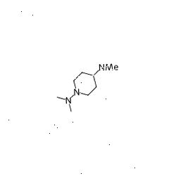 CNC1CCN(N(C)C)CC1